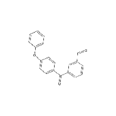 O=Cc1cccc(C(=O)c2ccc(Oc3ccccc3)cc2)c1